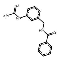 N=C(N)Nc1cccc(CNC(=O)c2ccccc2)c1